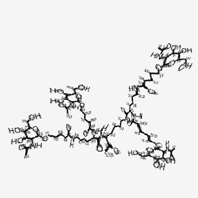 CC(=O)N[C@H]1C(O)[C@@H](O)C(CO)O[C@H]1OCCCCC(=O)NCCCCC(NC(=O)CCCCO[C@@H]1OC(CO)[C@H](O)C(O)[C@@H]1NC(C)=O)C(=O)NCCCCC(NC(=O)C(CCCCNC(=O)CCCCO[C@@H]1OC(CO)[C@H](O)C(O)[C@@H]1NC(C)=O)NC(=O)CCCCO[C@@H]1OC(CO)[C@H](O)C(O)[C@@H]1NC(C)=O)C(C)=O